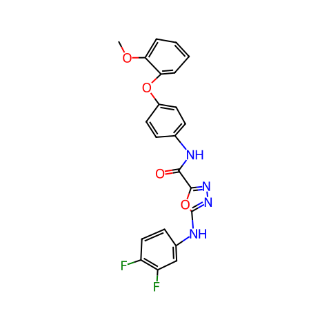 COc1ccccc1Oc1ccc(NC(=O)c2nnc(Nc3ccc(F)c(F)c3)o2)cc1